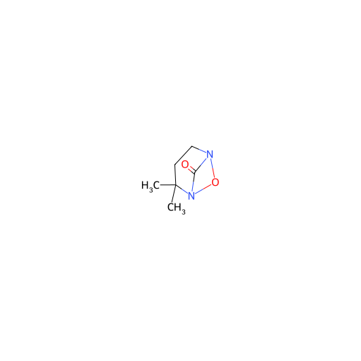 CC1(C)CCn2on1c2=O